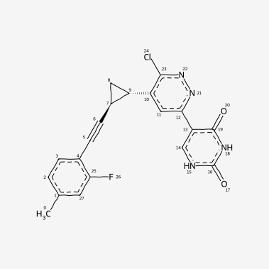 Cc1ccc(C#C[C@H]2C[C@@H]2c2cc(-c3c[nH]c(=O)[nH]c3=O)nnc2Cl)c(F)c1